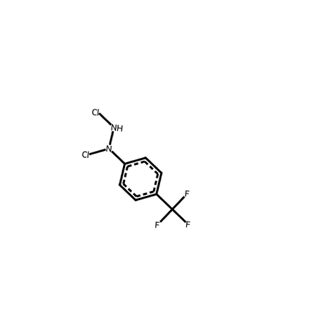 FC(F)(F)c1ccc(N(Cl)NCl)cc1